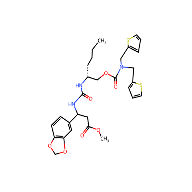 CCCC[C@H](COC(=O)N(Cc1cccs1)Cc1cccs1)NC(=O)NC(CC(=O)OC)c1ccc2c(c1)OCO2